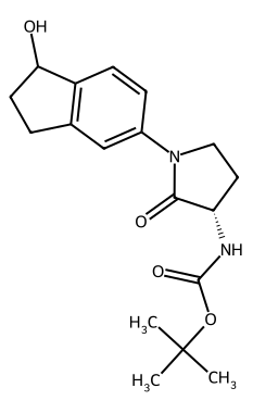 CC(C)(C)OC(=O)N[C@H]1CCN(c2ccc3c(c2)CCC3O)C1=O